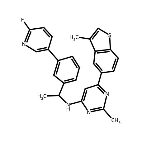 Cc1nc(NC(C)c2cccc(-c3ccc(F)nc3)c2)cc(-c2ccc3scc(C)c3c2)n1